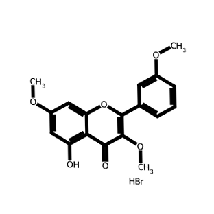 Br.COc1cccc(-c2oc3cc(OC)cc(O)c3c(=O)c2OC)c1